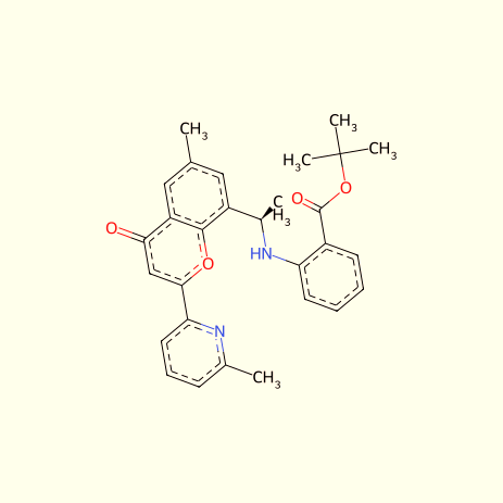 Cc1cc([C@@H](C)Nc2ccccc2C(=O)OC(C)(C)C)c2oc(-c3cccc(C)n3)cc(=O)c2c1